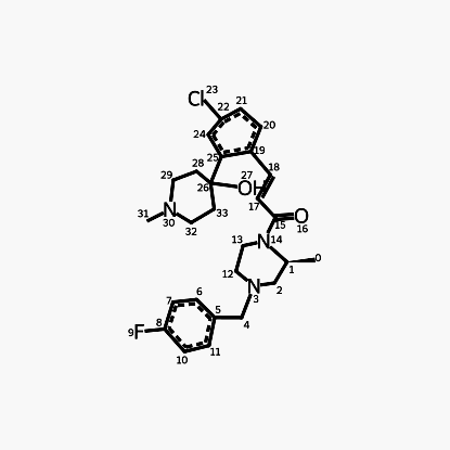 C[C@H]1CN(Cc2ccc(F)cc2)CCN1C(=O)/C=C/c1ccc(Cl)cc1C1(O)CCN(C)CC1